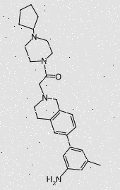 Cc1cc(N)cc(-c2ccc3c(c2)CCN(CC(=O)N2CCN(C4CCCC4)CC2)C3)c1